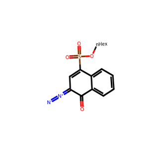 CCCCCCOS(=O)(=O)C1=CC(=[N+]=[N-])C(=O)c2ccccc21